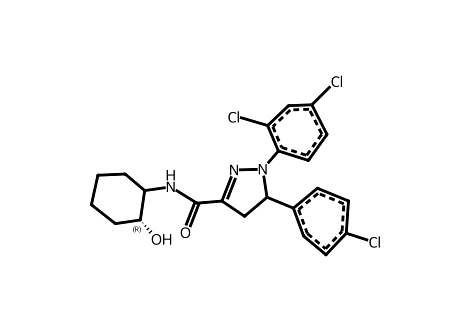 O=C(NC1CCCC[C@H]1O)C1=NN(c2ccc(Cl)cc2Cl)C(c2ccc(Cl)cc2)C1